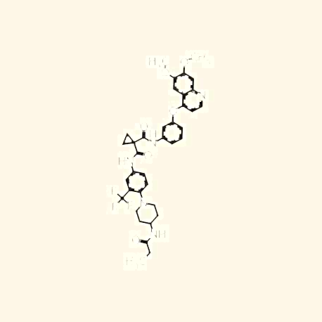 CCC(=O)NC1CCN(c2ccc(NC(=O)C3(C(=O)Nc4cccc(Oc5ccnc6cc(OC)c(OC)cc56)c4)CC3)cc2C(F)(F)F)CC1